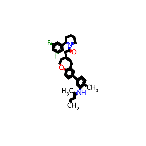 C=C/C=C(\C)Nc1cc(-c2ccc3c(c2)C/C=C(/CC(=O)N2CCCCC2c2cc(F)cc(F)c2)CCO3)ccc1C